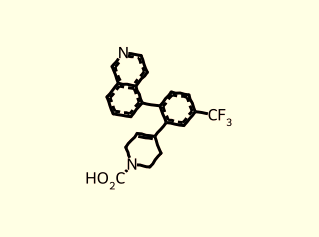 O=C(O)N1CC=C(c2cc(C(F)(F)F)ccc2-c2cccc3cnccc23)CC1